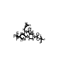 CC(C)(C)OC(=O)N1CCN2c3ncc(C(F)(F)F)cc3N(CC3CC3)C(=O)[C@H]2C1